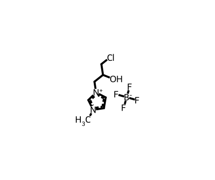 Cn1cc[n+](CC(O)CCl)c1.F[B-](F)(F)F